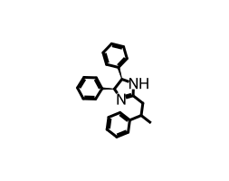 CC(CC1=N[C@@H](c2ccccc2)[C@@H](c2ccccc2)N1)c1ccccc1